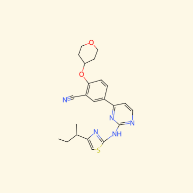 CCC(C)c1csc(Nc2nccc(-c3ccc(OC4CCOCC4)c(C#N)c3)n2)n1